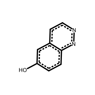 Oc1ccc2nnccc2c1